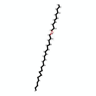 CCCCCCCCCCCCCCCCCCCCC[CH]OCCCCCCCCCCC